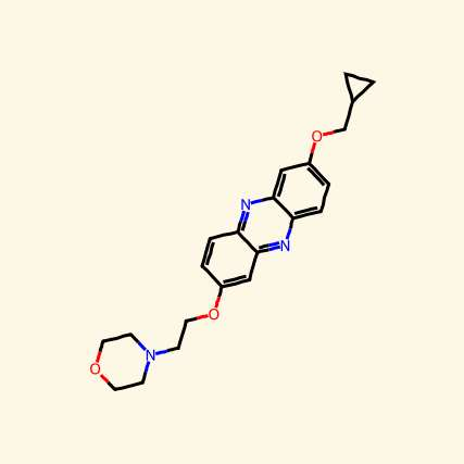 c1cc2nc3cc(OCC4CC4)ccc3nc2cc1OCCN1CCOCC1